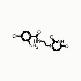 Nc1cc(Cl)ccc1C(=O)NCCn1ccc(=O)[nH]c1=O